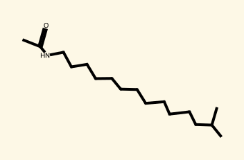 CC(=O)NCCCCCCCCCCCCC(C)C